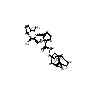 NCC1CCCN1C(=O)c1cn2c(C(=O)NCC34CC5CCC6(CC6C3)C5C4)cccc2n1